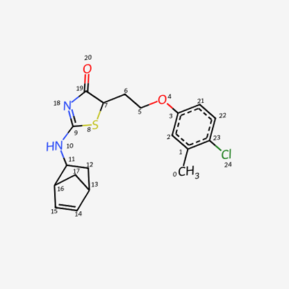 Cc1cc(OCCC2SC(NC3CC4C=CC3C4)=NC2=O)ccc1Cl